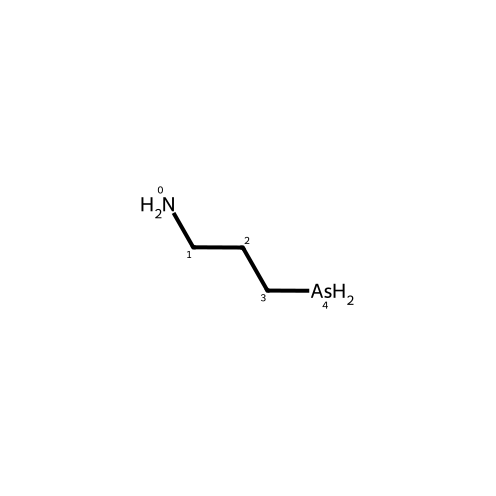 NCCC[AsH2]